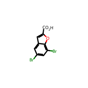 O=C(O)c1cc2cc(Br)cc(Br)c2o1